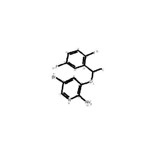 CC(Oc1cc(Br)cnc1N)c1cc(F)ccc1I